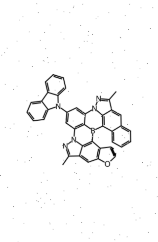 Cc1nn2c3c(c4ccccc4cc13)B1c3c-2cc(-n2c4ccccc4c4ccccc42)cc3-n2nc(C)c3cc4oc5ccccc5c4c1c32